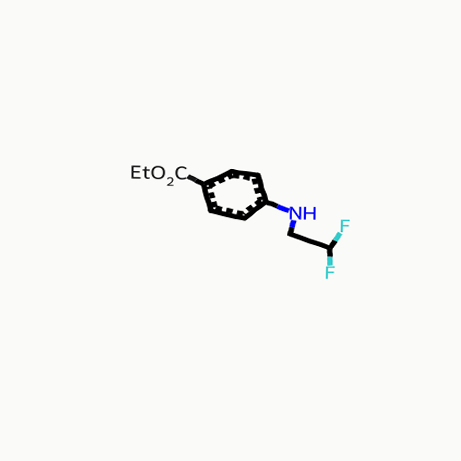 CCOC(=O)c1ccc(NCC(F)F)cc1